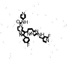 O=C(Nc1ccncc1)N1CCn2nc(-c3ccc(F)cc3)c(-c3ccc4nc(NCc5ccnc(F)c5)cn4n3)c2C1